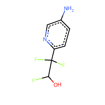 Nc1ccc(C(F)(F)C(O)F)nc1